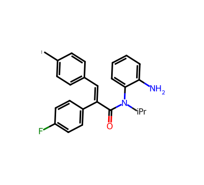 [CH]c1ccc(C=C(C(=O)N(c2ccccc2N)C(C)C)c2ccc(F)cc2)cc1